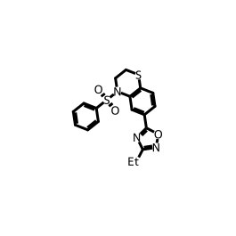 CCc1noc(-c2ccc3c(c2)N(S(=O)(=O)c2ccccc2)CCS3)n1